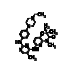 CCN1CCN(c2ccc(Nc3ncc(C)c(Nc4ccc5c(n4)N(C)C(=O)C(C)(C)O5)n3)cc2)CC1